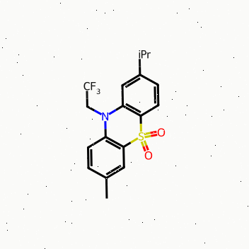 Cc1ccc2c(c1)S(=O)(=O)c1ccc(C(C)C)cc1N2CC(F)(F)F